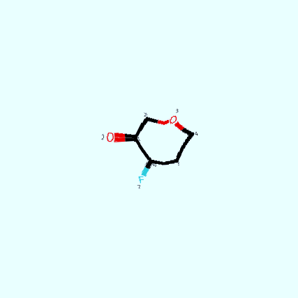 O=C1COCCC1F